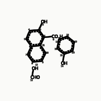 O=C(O)c1c(O)ccc2ccccc12.O=CO.Oc1ccccc1